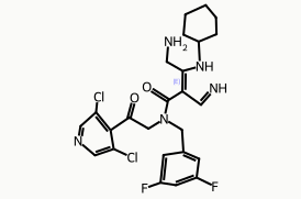 N=C/C(C(=O)N(CC(=O)c1c(Cl)cncc1Cl)Cc1cc(F)cc(F)c1)=C(/CN)NC1CCCCC1